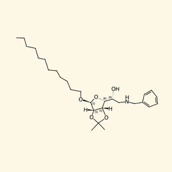 CCCCCCCCCCCCO[C@H]1O[C@H]([C@H](O)CNCc2ccccc2)[C@@H]2OC(C)(C)O[C@H]12